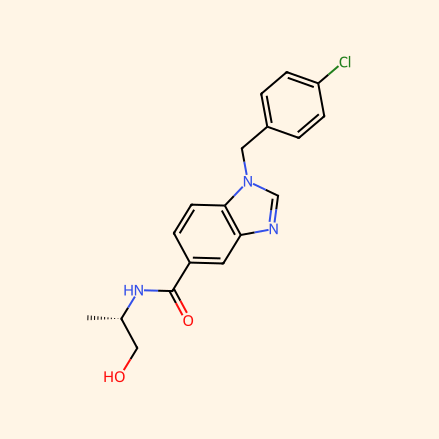 C[C@@H](CO)NC(=O)c1ccc2c(c1)ncn2Cc1ccc(Cl)cc1